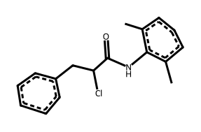 Cc1cccc(C)c1NC(=O)C(Cl)Cc1ccccc1